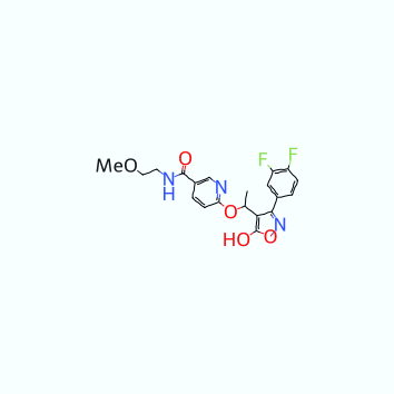 COCCNC(=O)c1ccc(OC(C)c2c(-c3ccc(F)c(F)c3)noc2O)nc1